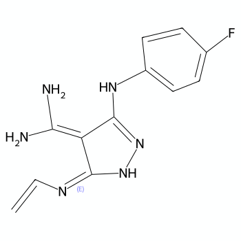 C=C/N=C1/NN=C(Nc2ccc(F)cc2)C1=C(N)N